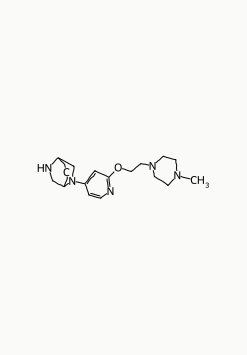 CN1CCN(CCOc2cc(N3CC4CCCC3CN4)ccn2)CC1